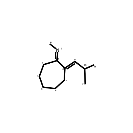 CN=C1CCCCCC1=CC(C)C